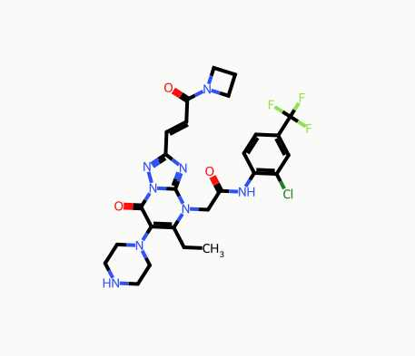 CCc1c(N2CCNCC2)c(=O)n2nc(/C=C/C(=O)N3CCC3)nc2n1CC(=O)Nc1ccc(C(F)(F)F)cc1Cl